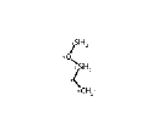 [CH2]C[SiH2]O[SiH3]